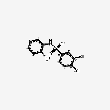 O=S(=O)(Nc1ccccc1O)c1ccc(Cl)c(Cl)c1